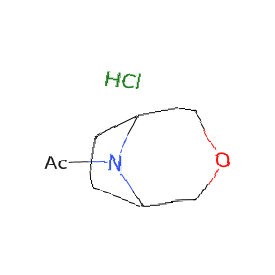 CC(=O)N1C2CCC1COC2.Cl